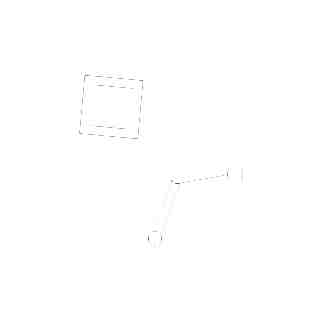 O=C(Cl)C1=CC=C1